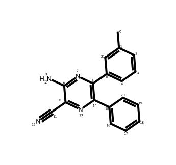 Cc1cccc(-c2nc(N)c(C#N)nc2-c2ccccc2)c1